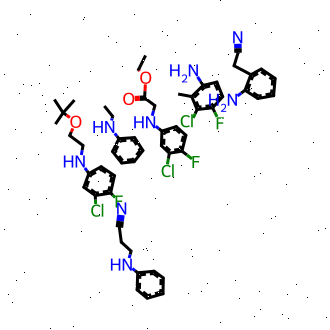 CC(C)(C)OCCNc1ccc(F)c(Cl)c1.CCNc1ccccc1.CCOC(=O)CNc1ccc(F)c(Cl)c1.Cc1c(N)ccc(F)c1Cl.N#CCCNc1ccccc1.N#CCc1ccccc1N